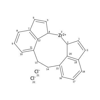 C1=C[CH]2[Zr+2][CH]3C=Cc4cccc(c43)CCc3cccc1c32.[Cl-].[Cl-]